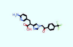 Nc1ccc(CC(C(=O)O)c2cn(CC(=O)c3ccc(C(F)(F)F)cc3)cn2)cn1